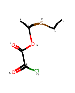 CCSC(C)OC(=O)C(=O)Cl